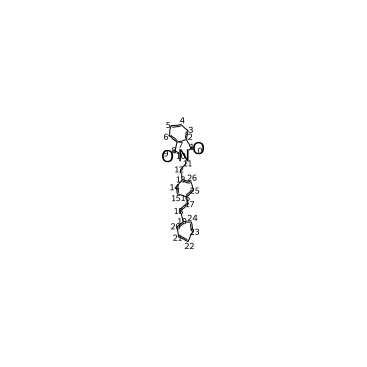 O=C1c2ccccc2C(=O)N1CCc1ccc(/C=C/c2ccccc2)cc1